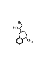 CN1CCN(C(O)CBr)Cc2ccccc21